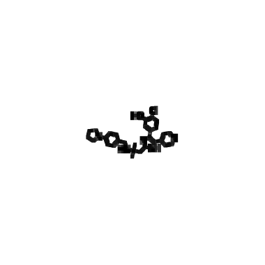 CC(C)(Cc1nc(-c2ccc(Cl)c(O)c2)c(-c2ccncc2)[nH]1)NCc1ccc(N2CCCC2)cc1